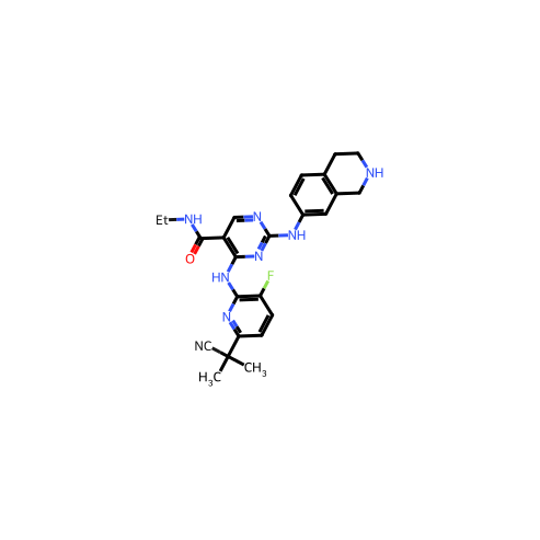 CCNC(=O)c1cnc(Nc2ccc3c(c2)CNCC3)nc1Nc1nc(C(C)(C)C#N)ccc1F